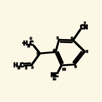 [CH2]C(C=C)c1cc(C#N)ccc1C#N